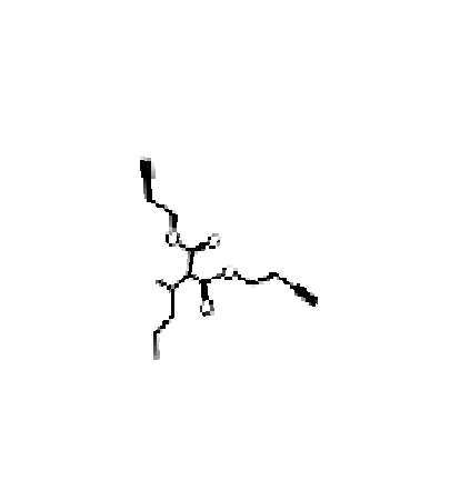 C#CCCOC(=O)C(C(=O)OCCC#C)C(C)CCC